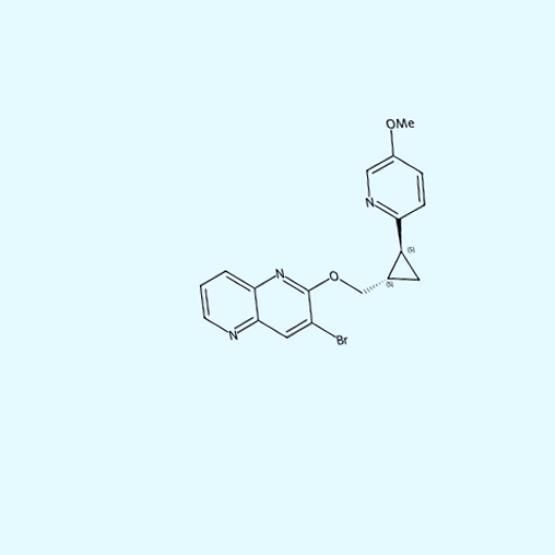 COc1ccc([C@H]2C[C@@H]2COc2nc3cccnc3cc2Br)nc1